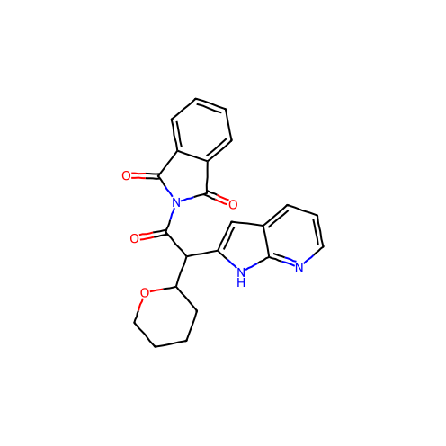 O=C1c2ccccc2C(=O)N1C(=O)C(c1cc2cccnc2[nH]1)C1CCCCO1